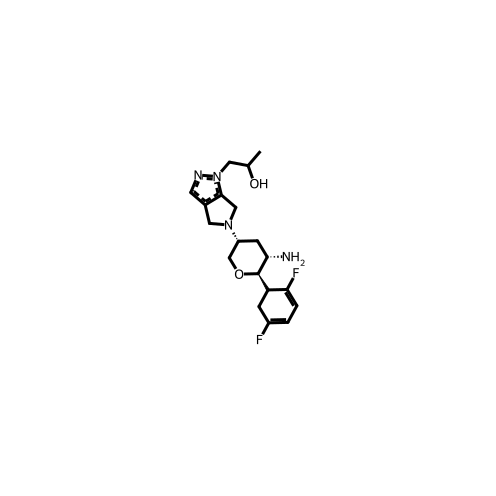 CC(O)Cn1ncc2c1CN([C@H]1CO[C@H](C3CC(F)=CC=C3F)[C@@H](N)C1)C2